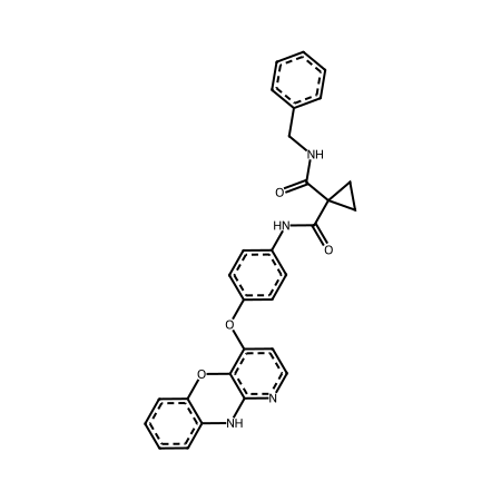 O=C(NCc1ccccc1)C1(C(=O)Nc2ccc(Oc3ccnc4c3Oc3ccccc3N4)cc2)CC1